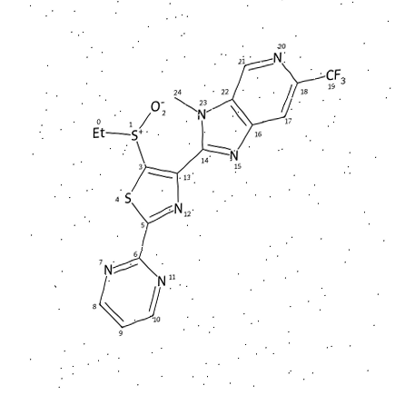 CC[S+]([O-])c1sc(-c2ncccn2)nc1-c1nc2cc(C(F)(F)F)ncc2n1C